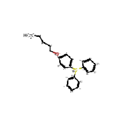 O=C(O)CCCCBr.c1ccc([S+](c2ccccc2)c2ccccc2)cc1